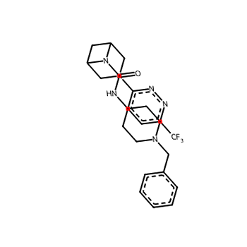 O=C(NC1CCN(Cc2ccccc2)CC1)N1C2CC1CN(c1ccc(C(F)(F)F)nn1)C2